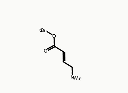 CNC/C=C/C(=O)OC(C)(C)C